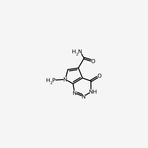 NC(=O)c1cn(P)c2nn[nH]c(=O)c12